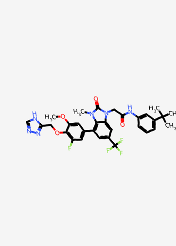 COc1cc(-c2cc(C(F)(F)F)cc3c2n(C)c(=O)n3CC(=O)Nc2cccc(C(C)(C)C)c2)cc(F)c1OCc1nnc[nH]1